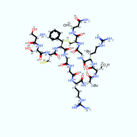 CC[C@H](C)[C@H](NC(=O)[C@H](CCCNC(=N)N)NC(=O)[C@H](CC(=O)O)NC(=O)[C@@H](NC(=O)[C@H](CCCNC(=N)N)NC(=O)CNC(=O)CNC(=O)[C@H](Cc1ccccc1)NC(=O)[C@H](CS)NC(=O)[C@H](CO)NC(=O)[C@@H](N)CO)[C@@H](C)CC)C(=O)N[C@@H](CS)C(=O)N[C@H]([C]=O)CC(N)=O